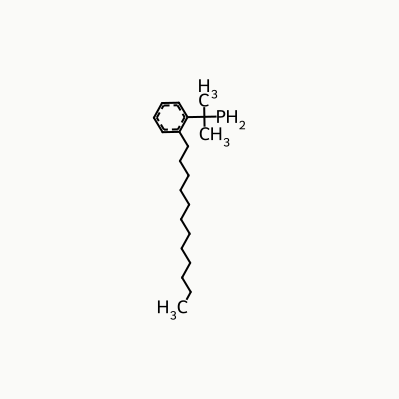 CCCCCCCCCCCCc1ccccc1C(C)(C)P